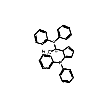 C[C@H](C1C=CC=C1P(c1ccccc1)c1ccccc1)P(c1ccccc1)c1ccccc1